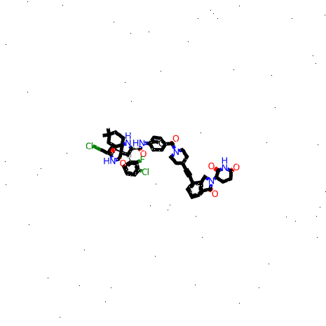 CC1(C)CCC2(CC1)N[C@@H](C(=O)NC13CCC(C(=O)N4CCC(C#Cc5cccc6c5CN(C5CCC(=O)NC5=O)C6=O)CC4)(CC1)CC3)[C@H](c1cccc(Cl)c1F)[C@]21C(=O)Nc2cc(Cl)ccc21